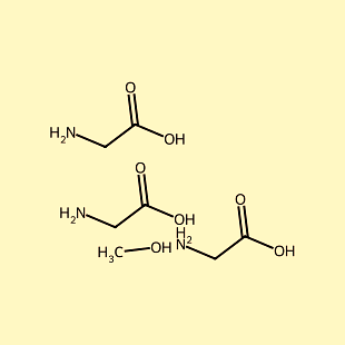 CO.NCC(=O)O.NCC(=O)O.NCC(=O)O